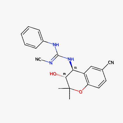 CC1(C)Oc2ccc(C#N)cc2[C@H](NC(=NC#N)Nc2ccccc2)[C@H]1O